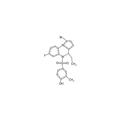 CCC1c2ccc(Br)n2-c2ccc(F)cc2N1S(=O)(=O)c1ccc(O)c(C)c1